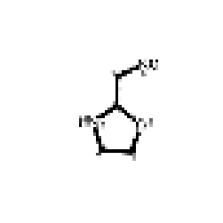 O=NCC1NCCO1